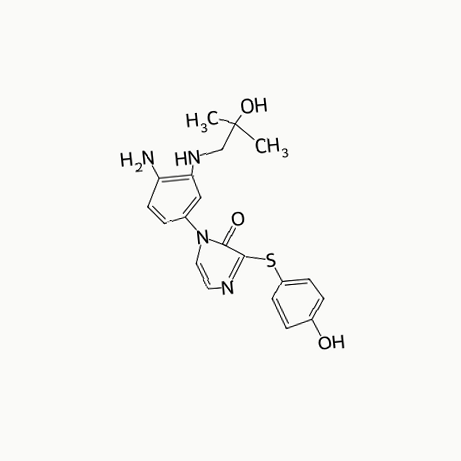 CC(C)(O)CNc1cc(-n2ccnc(Sc3ccc(O)cc3)c2=O)ccc1N